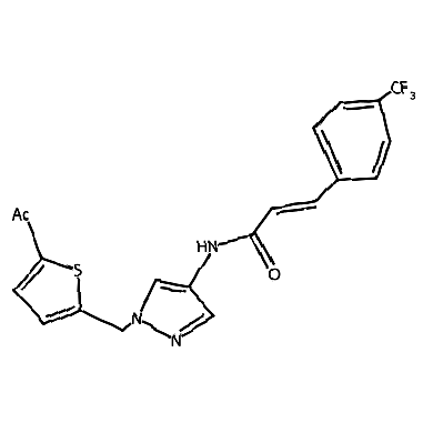 CC(=O)c1ccc(Cn2cc(NC(=O)C=Cc3ccc(C(F)(F)F)cc3)cn2)s1